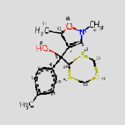 Cc1ccc(C(O)(C2=CN(C)OC2C)C2SCSCS2)cc1